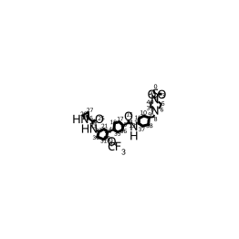 CS(=O)(=O)N1CCN(Cc2ccc(NC(=O)c3ccc(-c4cc(NC(=O)C5CCN5)ccc4OC(F)(F)F)cc3)cc2)CC1